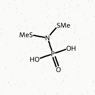 CSN(SC)P(=O)(O)O